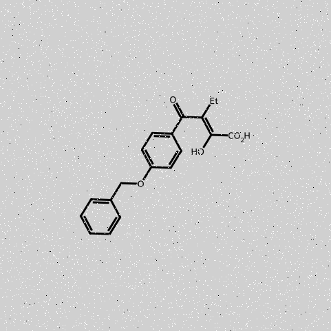 CCC(C(=O)c1ccc(OCc2ccccc2)cc1)=C(O)C(=O)O